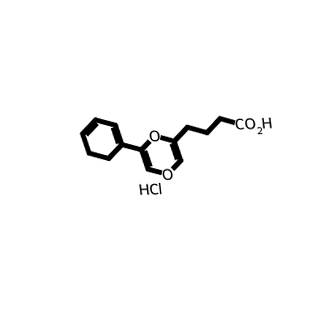 Cl.O=C(O)CCCC1=COC=C(C2=CC=CCC2)O1